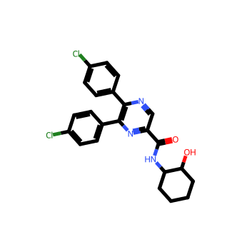 O=C(NC1CCCCC1O)c1cnc(-c2ccc(Cl)cc2)c(-c2ccc(Cl)cc2)n1